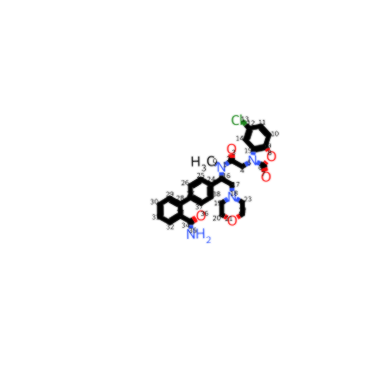 CN(C(=O)Cn1c(=O)oc2ccc(Cl)cc21)C(CN1CCOCC1)c1ccc(-c2ccccc2C(N)=O)cc1